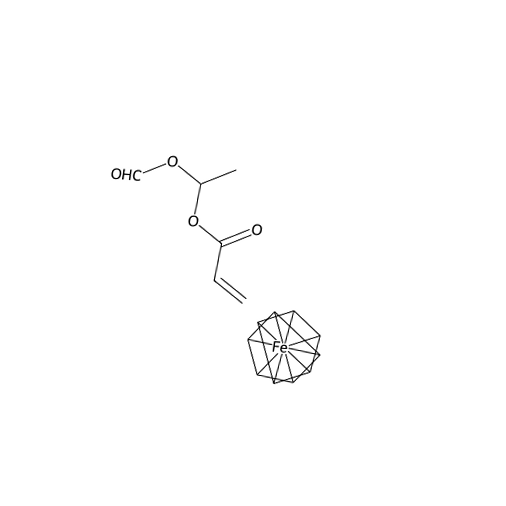 C=CC(=O)OC(C)OC=O.[CH]12[CH]3[CH]4[CH]5[CH]1[Fe]23451678[CH]2[CH]1[CH]6[CH]7[CH]28